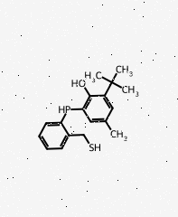 Cc1cc(Pc2ccccc2CS)c(O)c(C(C)(C)C)c1